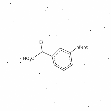 CCCCCc1cccc(C(CC)C(=O)O)c1